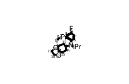 CC(C)I.CC(C)N(c1ccc(F)cc1)C1CCC2(CC1)OCCO2